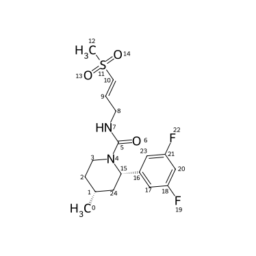 C[C@@H]1CCN(C(=O)NC/C=C/S(C)(=O)=O)[C@H](c2cc(F)cc(F)c2)C1